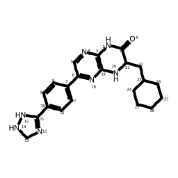 O=C1Nc2ncc(-c3ccc(C4=NCNN4)cc3)nc2NC1CC1CCCCC1